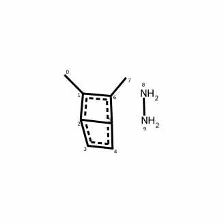 Cc1c2ccc-2c1C.NN